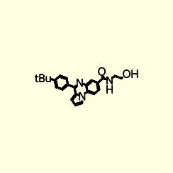 CC(C)(C)c1ccc(-c2nc3cc(C(=O)NCCO)ccc3n3cccc23)cc1